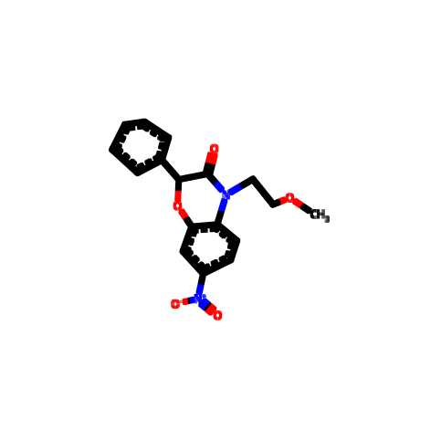 COCCN1C(=O)C(c2ccccc2)Oc2cc([N+](=O)[O-])ccc21